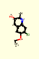 CC(=O)c1nc2cc(Cl)c(OCC(F)(F)F)cc2cc1O